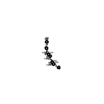 Nc1c(N=Nc2ccc3c(O)c(N=Nc4ccc(N=Nc5ccc(S(=O)(=O)O)cc5)cc4)c(S(=O)(=O)O)cc3c2S(=O)(=O)O)cc(S(=O)(=O)O)c2ccc(N=Nc3ccccc3)c(O)c12